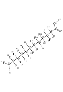 O=C(OF)C(F)(F)C(F)(F)C(F)(F)C(F)(F)C(F)(F)C(F)(F)C(F)(F)C(F)(F)C(F)(F)C(F)(F)C(F)F